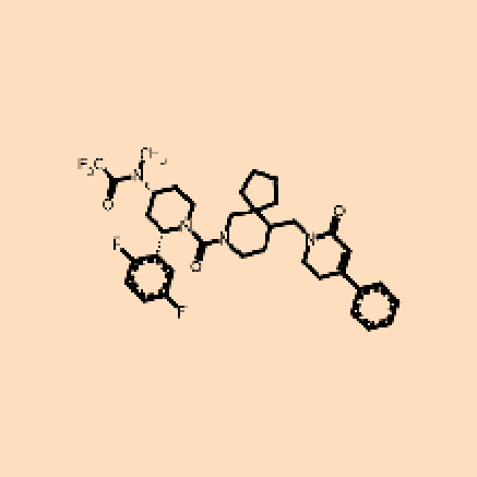 CN(C(=O)C(F)(F)F)[C@@H]1CCN(C(=O)N2CCC(CN3CCC(c4ccccc4)=CC3=O)C3(CCCC3)C2)[C@H](c2cc(F)ccc2F)C1